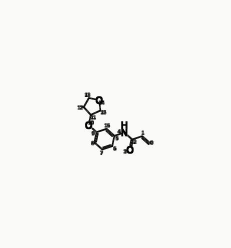 C=CC(=O)Nc1cccc(OC2CCOC2)c1